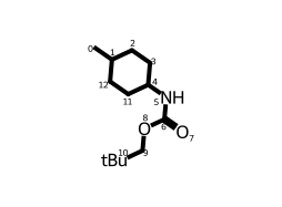 CC1CCC(NC(=O)OCC(C)(C)C)CC1